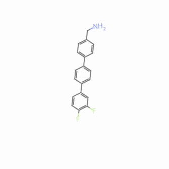 NCc1ccc(-c2ccc(-c3ccc(F)c(F)c3)cc2)cc1